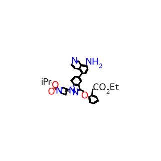 CCOC(=O)Cc1ccccc1OCc1nn([C@H]2CCN(C(=O)OC(C)C)C2)c2ccc(-c3ccc(N)c4cnccc34)cc12